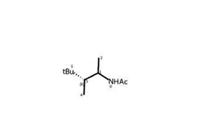 CC(=O)NC(C)[C@H](C)C(C)(C)C